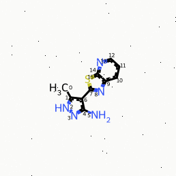 Cc1[nH]nc(N)c1-c1nc2cccnc2s1